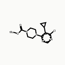 CC(C)(C)OC(=O)N1CCN(c2ncnc(Cl)c2C2CC2)CC1